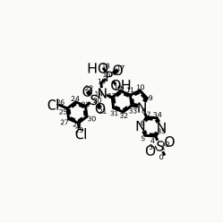 CS(=O)(=O)c1cnc(-n2ccc3cc(N(CP(=O)(O)O)S(=O)(=O)c4cc(Cl)cc(Cl)c4)ccc32)cn1